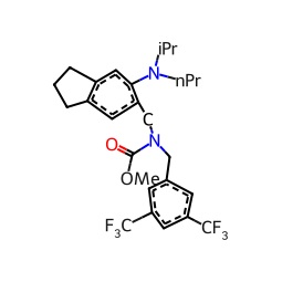 CCCN(c1cc2c(cc1CN(Cc1cc(C(F)(F)F)cc(C(F)(F)F)c1)C(=O)OC)CCC2)C(C)C